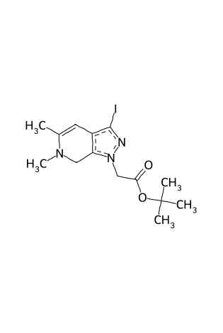 CC1=Cc2c(I)nn(CC(=O)OC(C)(C)C)c2CN1C